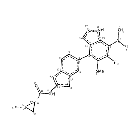 CCN(C)c1c(F)c(SC)c(-c2ccc3nc(NC(=O)[C@@H]4C[C@@H]4F)cn3c2)c2cn[nH]c12